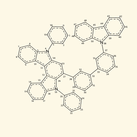 c1ccc(-n2c3ccccc3c3c4c5ccccc5n(-c5ccccc5)c4c(-c4cccc(-c5cccc(-n6c7ccccc7c7ccccc76)c5)c4)cc32)cc1